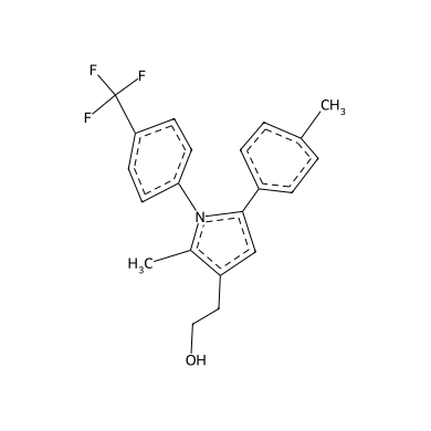 Cc1ccc(-c2cc(CCO)c(C)n2-c2ccc(C(F)(F)F)cc2)cc1